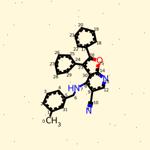 Cc1cccc(CNc2c(C#N)cnc3oc(-c4ccccc4)c(-c4ccccc4)c23)c1